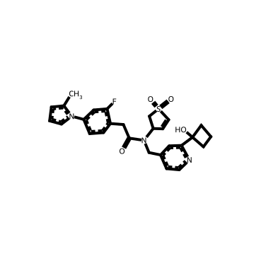 Cc1cccn1-c1ccc(CC(=O)N(Cc2ccnc(C3(O)CCC3)c2)C2C=CS(=O)(=O)C2)c(F)c1